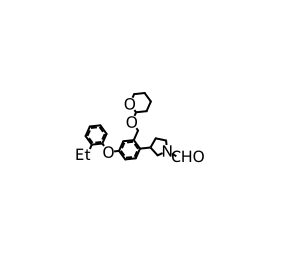 CCc1ccccc1Oc1ccc(C2CCN(C=O)C2)c(COC2CCCCO2)c1